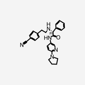 N#Cc1ccc(CCN[C@@H](C(=O)Nc2ccc(N3CCCC3)nc2)c2ccccc2)cc1